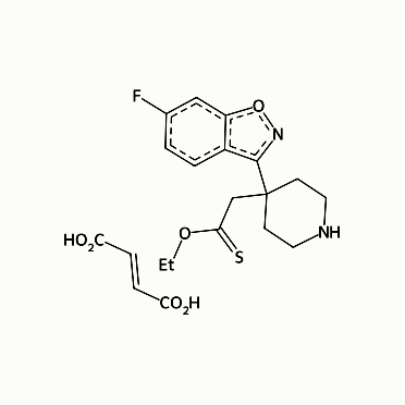 CCOC(=S)CC1(c2noc3cc(F)ccc23)CCNCC1.O=C(O)/C=C/C(=O)O